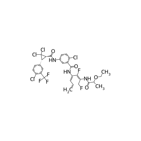 C=C/C=C(NC(=O)c1cc(NC(=O)[C@H]2[C@H](c3ccc(Cl)c(C(F)(F)F)c3)C2(Cl)Cl)ccc1Cl)\C(F)=C(/CF)NC(=O)C(C)OCC